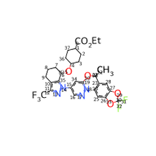 CCOC(=O)C1CCC(O[C@H]2CCCc3c(C(F)(F)F)nn(-c4cnnc(O[C@@H](C)c5ccc6c(c5)OC(F)(F)O6)c4)c32)CC1